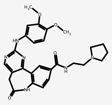 COc1ccc(Nc2ncc3c(n2)-c2cc(C(=O)NCCN4CCCC4)ccc2NC(=O)C3)cc1OC